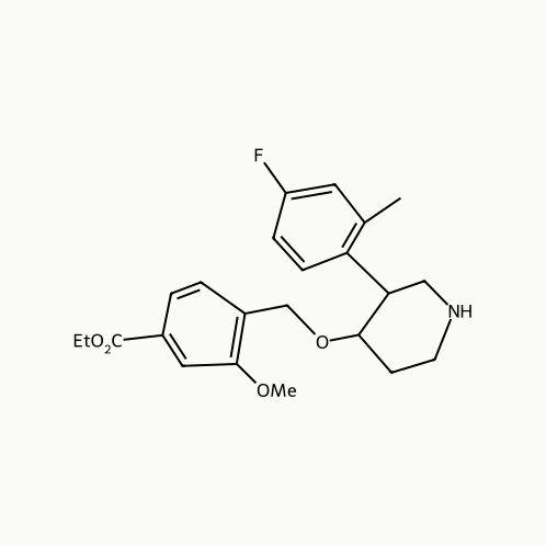 CCOC(=O)c1ccc(COC2CCNCC2c2ccc(F)cc2C)c(OC)c1